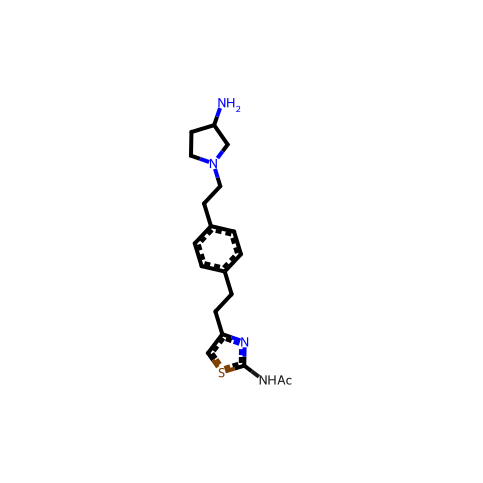 CC(=O)Nc1nc(CCc2ccc(CCN3CCC(N)C3)cc2)cs1